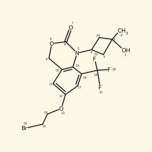 CC1(O)CC(N2C(=O)OCc3cc(OCCBr)cc(C(F)(F)F)c32)C1